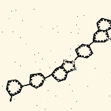 Cc1cccc(-c2ccc(-c3ccc4nn(-c5ccc(-c6cnc7ccccc7c6)cc5)nc4c3)cc2)c1